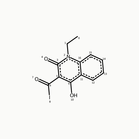 CCn1c(=O)c(C(=O)I)c(O)c2ccccc21